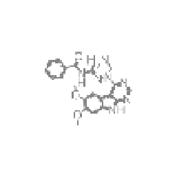 COc1cc2[nH]c3ncnc(N(CN)/N=C(\C)NC(=O)c4ccccc4)c3c2cc1OC